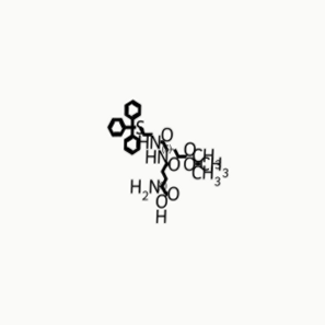 CC(C)(C)OC(=O)CC[C@H](NC(=O)CC[C@H](N)C(=O)O)C(=O)NCCSC(c1ccccc1)(c1ccccc1)c1ccccc1